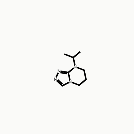 CC(C)N1CCCn2cnnc21